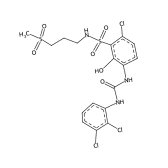 CS(=O)(=O)CCCNS(=O)(=O)c1c(Cl)ccc(NC(=O)Nc2cccc(Cl)c2Cl)c1O